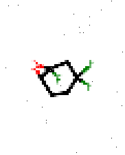 FC1(F)CCC2OC2(F)C1